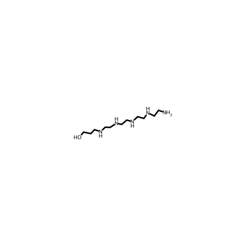 NCCNCCNCCNCCNCCCO